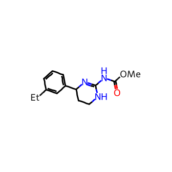 CCc1cccc(C2CCNC(NC(=O)OC)=N2)c1